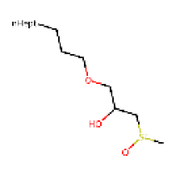 CCCCCCCCCCOCC(O)C[S+](C)[O-]